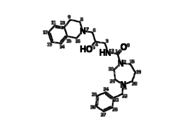 O=C(NCC(O)CN1CCc2ccccc2C1)N1CCCN(Cc2ccccc2)CC1